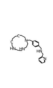 c1ccc(CNCc2ccc(CN3CCCCCCCNCCNCC3)cc2)nc1